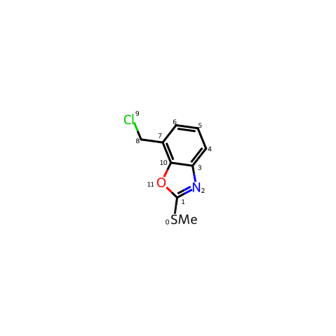 CSc1nc2cccc(CCl)c2o1